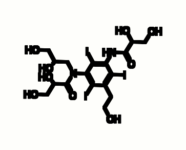 O=C(Nc1c(I)c(CCO)c(I)c(N(CC(O)CO)C(=O)C(O)CO)c1I)C(O)CO